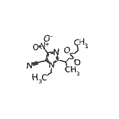 CCn1c(C(C)S(=O)(=O)CC)nc([N+](=O)[O-])c1C#N